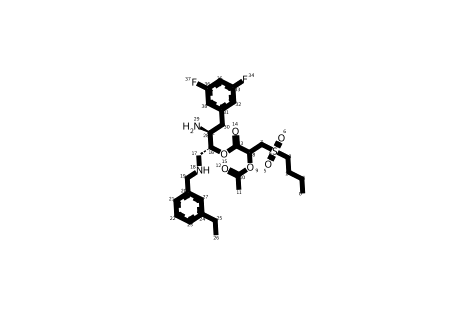 CCCCS(=O)(=O)CC(OC(C)=O)C(=O)O[C@H](CNCc1cccc(CC)c1)[C@@H](N)Cc1cc(F)cc(F)c1